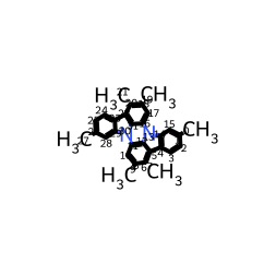 Cc1ccc2c3c(C)c(C)cc4c3n(c2c1)c1cc(C)c(C)c2c3ccc(C)cc3n4c21